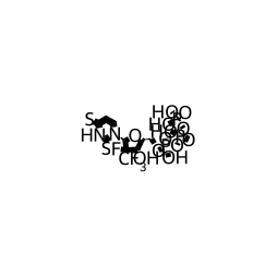 O=P(O)(O)OP(=O)(O)OP(=O)(O)OC[C@H]1O[C@@H](n2ccc(=S)[nH]c2=S)[C@@](F)(C(F)(F)F)C1O